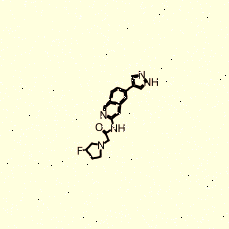 O=C(CN1CC[C@@H](F)C1)Nc1cc2cc(-c3cn[nH]c3)ccc2cn1